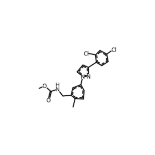 COC(=O)NCc1cc(-n2ccc(-c3ccc(Cl)cc3Cl)n2)ccc1C